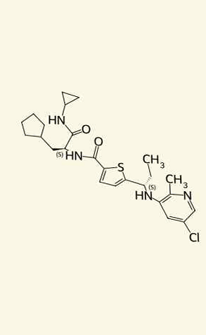 CC[C@H](Nc1cc(Cl)cnc1C)c1ccc(C(=O)N[C@@H](CC2CCCC2)C(=O)NC2CC2)s1